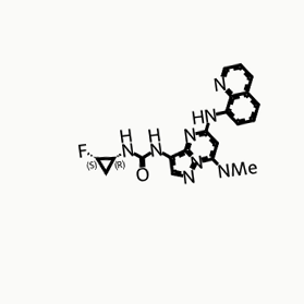 CNc1cc(Nc2cccc3cccnc23)nc2c(NC(=O)N[C@@H]3C[C@@H]3F)cnn12